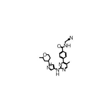 Cc1cnc(Nc2cnn(C3CCOC(C)C3)c2)nc1-c1ccc(C(=O)NCC#N)cc1